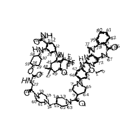 CCOc1cc(N2CCC(C(=O)N3CCC(CN4CCN(C(=O)CNC(=O)OC5CCC(Nc6cc(-n7nc(C(F)(F)F)c8c7CC(C)(C)CC8=O)ccc6C(N)=O)CC5)CC4)CC3)CC2)ccc1Nc1ncc2c(n1)N(C)c1ccccc1C(=O)N2C